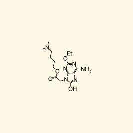 CCOc1nc(N)c2nc(O)n(CC(=O)OCCCCN(C)C)c2n1